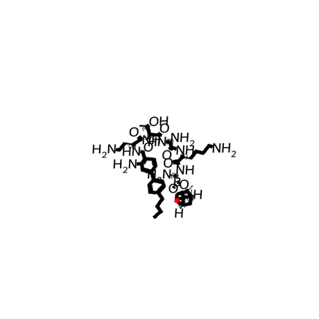 CCCCc1ccc(-c2ccc(C(=O)N[C@@H](CCN)C(=O)N[C@H](C(=O)N[C@@H](N)C(=O)N[C@@H](CCCCN)C(=O)N[C@@H](N)B3OC4C[C@@H]5C[C@@H](C5(C)C)[C@]4(C)O3)[C@@H](C)O)c(N)c2)cc1